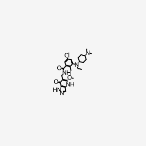 CCN(c1cc(Cl)cc(C(=O)NCc2c(OC)[nH]c3cn[nH]c3c2=O)c1C)[C@H]1CC[C@H](N(C)C)CC1